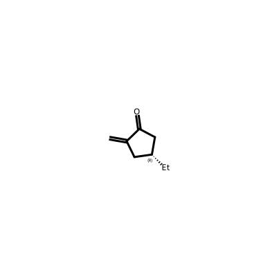 C=C1C[C@@H](CC)CC1=O